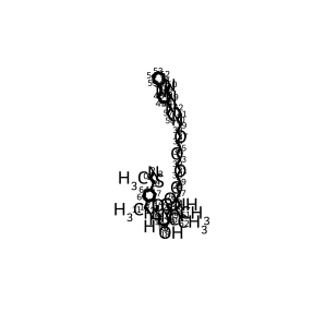 Cc1ncsc1-c1ccc(C(C)NC(=O)[C@@H]2C[C@@H](O)CN2C(=O)C(NC(=O)COCCOCCOCCOCCN2CCN(c3ccn4c(n3)nc3ccccc34)CC2)C(C)(C)C)cc1